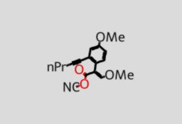 CCCC#Cc1cc(OC)ccc1/C(=C\OC)C(=O)OC#N